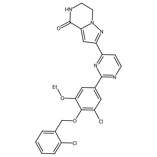 CCOc1cc(-c2nccc(-c3cc4n(n3)CCNC4=O)n2)cc(Cl)c1OCc1ccccc1Cl